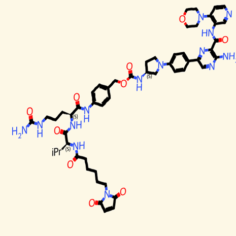 CC(C)[C@H](NC(=O)CCCCCN1C(=O)C=CC1=O)C(=O)N[C@@H](CCCNC(N)=O)C(=O)Nc1ccc(COC(=O)N[C@H]2CCN(c3ccc(-c4cnc(N)c(C(=O)Nc5cnccc5N5CCOCC5)n4)cc3)C2)cc1